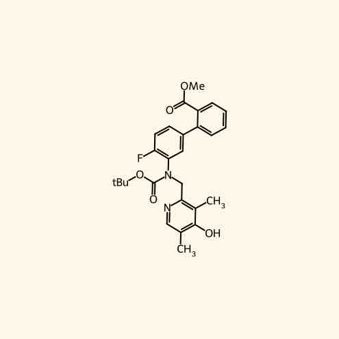 COC(=O)c1ccccc1-c1ccc(F)c(N(Cc2ncc(C)c(O)c2C)C(=O)OC(C)(C)C)c1